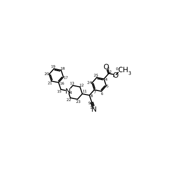 COC(=O)c1ccc(C(C#N)C2CCN(Cc3ccccc3)CC2)cc1